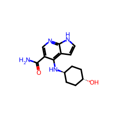 NC(=O)c1cnc2[nH]ccc2c1N[C@H]1CC[C@H](O)CC1